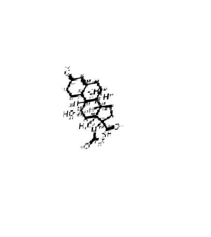 CCC(=O)O[C@]1(C(=O)S)CC[C@H]2[C@@H]3CCC4=CC(=O)CC[C@]4(C)[C@H]3[C@@H](O)C[C@@]21C